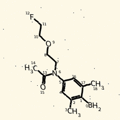 Bc1c(C)cc(N(CCOCCF)C(C)=O)cc1C